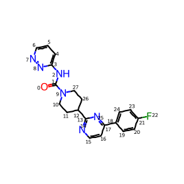 O=C(Nc1cccnn1)N1CCC(c2nccc(-c3ccc(F)cc3)n2)CC1